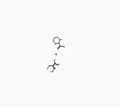 CC1CCCC2SC(NC(=O)NCc3c(Br)sc4c3CCNC4)=C(C(=O)OC(C)(C)C)C12